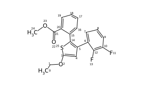 CCOc1cc(-c2cccc(F)c2F)c(-c2ccccc2C(=O)OC)s1